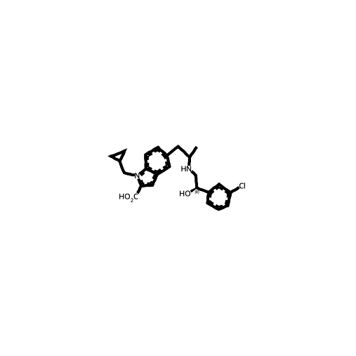 CC(Cc1ccc2c(c1)cc(C(=O)O)n2CC1CC1)NC[C@H](O)c1cccc(Cl)c1